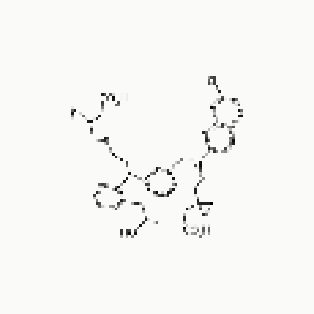 CC(O)Cc1ccccc1C(CCSCC1(CC(=O)O)CC1)c1cccc(C[C@@H](SCC2(CC(=O)O)CC2)c2ccc3ccc(Cl)cc3n2)c1